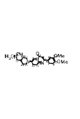 COc1ccc(-c2cc(=O)n3cc(N4CCC(CN(C)C)CC4)ccc3n2)cc1OC